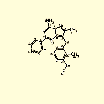 Cc1nn2c(N)cc(-c3ccncc3)nc2c1Cc1cccc(CF)c1C